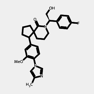 COc1cc(C2CCCC23CCCN([C@@H](CO)c2ccc(F)cc2)C3=O)ccc1-n1cnc(C)c1